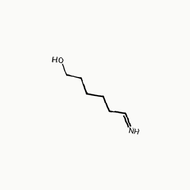 N=CCCCCCO